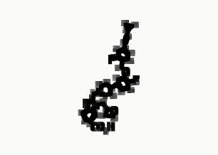 O=C(O)c1ccc2nc(CN3CC=C(c4ccc(F)c(OCc5ccc(C#CC6CC6)cc5F)c4)CC3)n(C[C@@H]3CCO3)c2c1